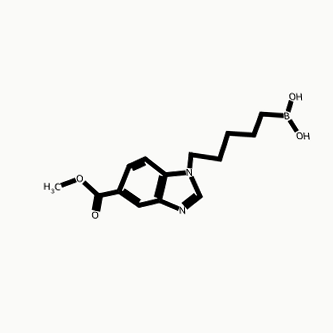 COC(=O)c1ccc2c(c1)ncn2CCCCCB(O)O